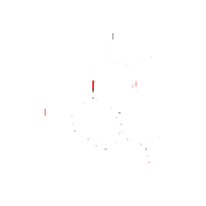 C=C(O[C@H]1C=C(C(=O)O)C=C[C@@H]1O)C(=O)O